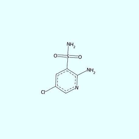 Nc1ncc(Cl)cc1S(N)(=O)=O